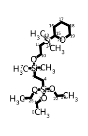 CCO[Si](CC[Si](C)(C)OCC[Si](C)(C)C1CCCCO1)(OCC)OCC